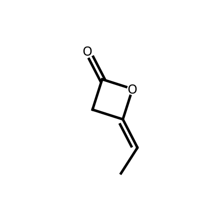 CC=C1CC(=O)O1